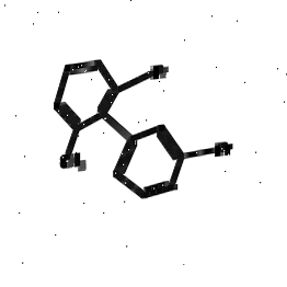 Cc1cccc(C(C)C)c1-c1cc[c]c(C(C)C)c1